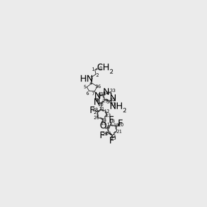 C=CCN[C@H]1CC[C@@H](n2nc(-c3ccc(Oc4c(F)c(F)cc(F)c4F)cc3F)c3c(N)ncnc32)C1